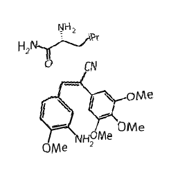 CC(C)C[C@@H](N)C(N)=O.COc1ccc(C=C(C#N)c2cc(OC)c(OC)c(OC)c2)cc1N